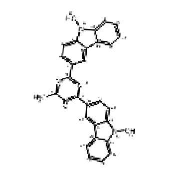 Cc1nc(-c2ccc3c(c2)c2ccccc2n3O)nc(-c2ccc3c(c2)c2ccccc2n3O)n1